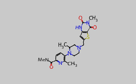 CNC(=O)c1ccc(N2CCN(Cc3cc4[nH]c(=O)n(C)c(=O)c4s3)CC2C)c(C)n1